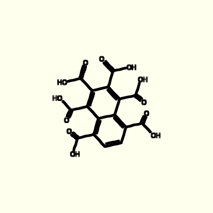 O=C(O)c1c(C(=O)O)c(C(=O)O)c2c(C(=O)O)ccc(C(=O)O)c2c1C(=O)O